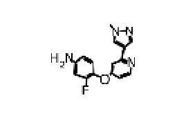 Cn1cc(-c2cc(Oc3ccc(N)cc3F)ccn2)cn1